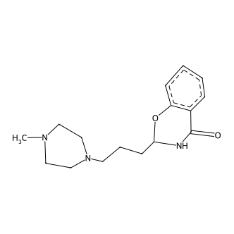 CN1CCN(CCCC2NC(=O)c3ccccc3O2)CC1